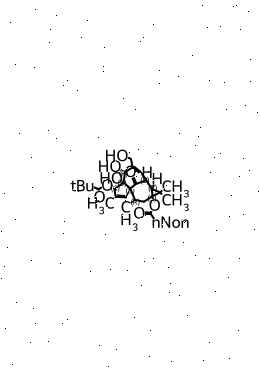 CCCCCCCCCC(=O)O[C@@]12C[C@@H](C)[C@]34C=C(C)[C@H](OC(=O)C(C)(C)C)[C@@]3(O)[C@H](O)C(CO)=C[C@H](C4=O)[C@@H]1C2(C)C